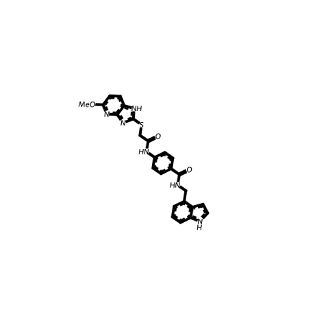 COc1ccc2[nH]c(SCC(=O)Nc3ccc(C(=O)NCc4cccc5[nH]ccc45)cc3)nc2n1